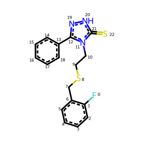 Fc1ccccc1CSCCn1c(-c2ccccc2)n[nH]c1=S